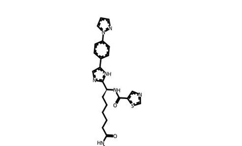 CNC(=O)CCCCC[C@H](NC(=O)c1cncs1)c1ncc(-c2ccc(-n3cccn3)cc2)[nH]1